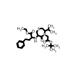 CCOC(=O)C(CCc1ccccc1)NC1CSCC(C(C)C)N(CC(=O)OC(C)(C)C)C1=O